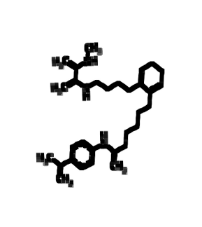 C=C(CCCCCC1=CCCC=C1CCCCNC(=C)C(=C)NC)Nc1ccc(C(=C)C)cc1